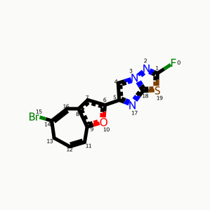 Fc1nn2cc(-c3cc4c(o3)C=CCC(Br)=C4)nc2s1